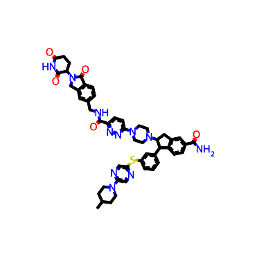 C[C]1CCN(c2cnc(Sc3cccc(C4c5ccc(C(N)=O)cc5CC4N4CCN(c5ccc(C(=O)NCc6ccc7c(c6)CN(C6CCC(=O)NC6=O)C7=O)nn5)CC4)c3)cn2)CC1